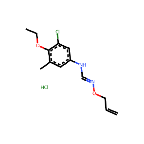 C=CCO/N=C/Nc1cc(C)c(OCC)c(Cl)c1.Cl